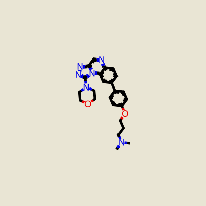 CN(C)CCCOc1ccc(-c2ccc3ncc4nnc(N5CCOCC5)n4c3c2)cc1